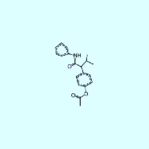 CC(=O)Oc1ccc(C(C(=O)Nc2ccccc2)C(C)C)cc1